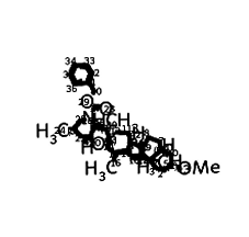 CO[C@@H]1CC[C@@]2(C)[C@H](CC[C@H]3[C@@H]4CC[C@@]5(CC(C)=C4C[C@@H]32)O[C@@H]2C[C@H](C)CN(C(=O)OCc3ccccc3)[C@H]2[C@H]5C)C1